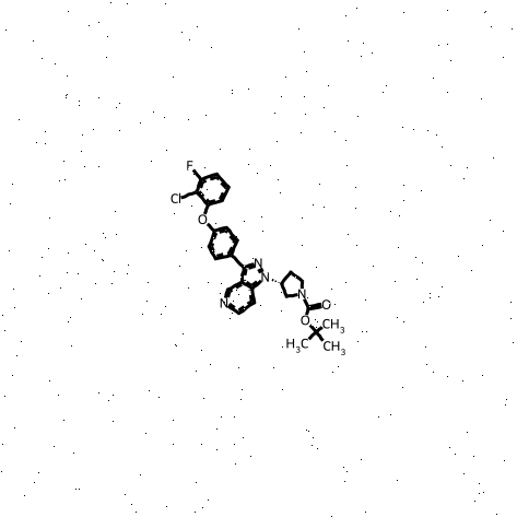 CC(C)(C)OC(=O)N1CC[C@@H](n2nc(-c3ccc(Oc4cccc(F)c4Cl)cc3)c3cnccc32)C1